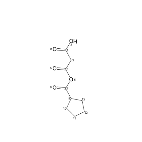 O=C(O)CC(=O)OC(=O)C1CCCC1